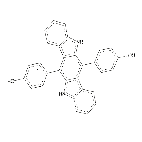 Oc1ccc(-c2c3[nH]c4ccccc4c3c(-c3ccc(O)cc3)c3[nH]c4ccccc4c23)cc1